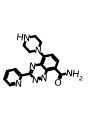 NC(=O)c1ccc(N2CCNCC2)c2nc(-c3ccccn3)nnc12